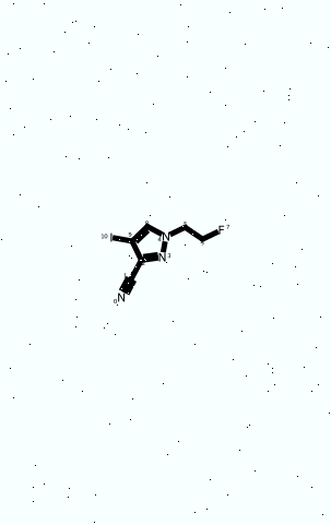 N#Cc1nn(CCF)cc1I